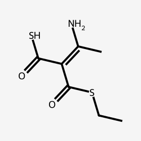 CCSC(=O)/C(C(=O)S)=C(\C)N